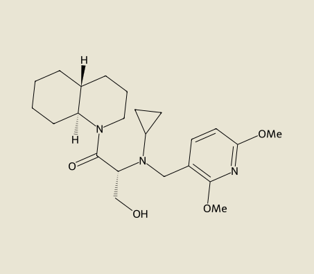 COc1ccc(CN(C2CC2)[C@H](CO)C(=O)N2CCC[C@H]3CCCC[C@@H]32)c(OC)n1